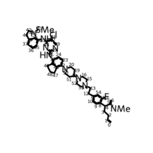 C=CCCC(C(=C)NC)c1ccc(CCN2CCN(C3CCN(c4ccc(Nc5ncc(Cl)c(Nc6cccc7c6N(SC)CC7)n5)c5c4CCC5)CC3)CC2)cc1F